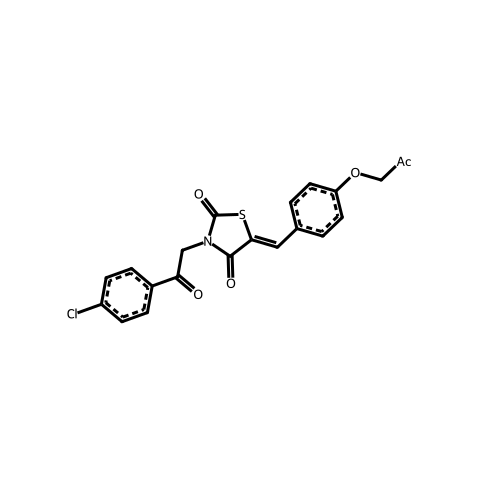 CC(=O)COc1ccc(/C=C2\SC(=O)N(CC(=O)c3ccc(Cl)cc3)C2=O)cc1